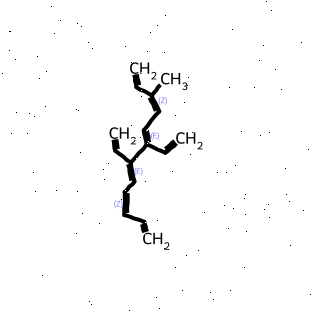 C=C\C=C/C=C(C=C)/C(C=C)=C/C=C(/C)C=C